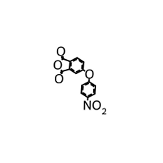 O=C1OC(=O)c2cc(Oc3ccc([N+](=O)[O-])cc3)ccc21